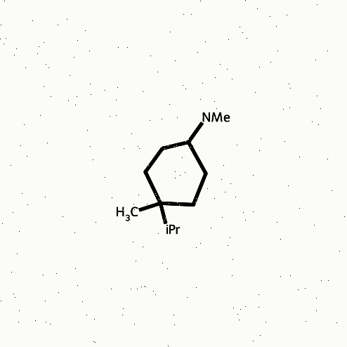 CNC1CCC(C)(C(C)C)CC1